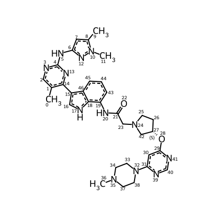 Cc1cnc(Nc2cc(C)n(C)n2)nc1-c1c[nH]c2c(NC(=O)CN3CC[C@H](Oc4cc(N5CCN(C)CC5)ncn4)C3)cccc12